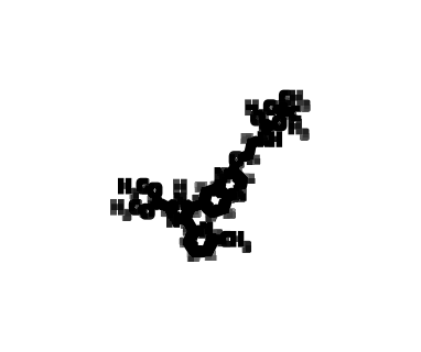 COC(OC)c1nc(-c2cccc(C)n2)c(-c2ccc3ncc(OCCNC(=O)OC(C)(C)C)nc3c2)[nH]1